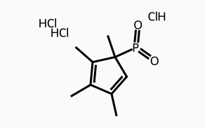 CC1=CC(C)(P(=O)=O)C(C)=C1C.Cl.Cl.Cl